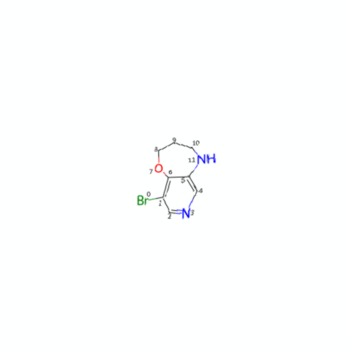 Brc1cncc2c1OCCCN2